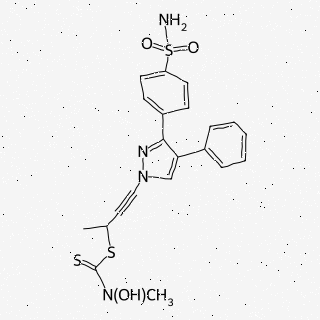 CC(C#Cn1cc(-c2ccccc2)c(-c2ccc(S(N)(=O)=O)cc2)n1)SC(=S)N(C)O